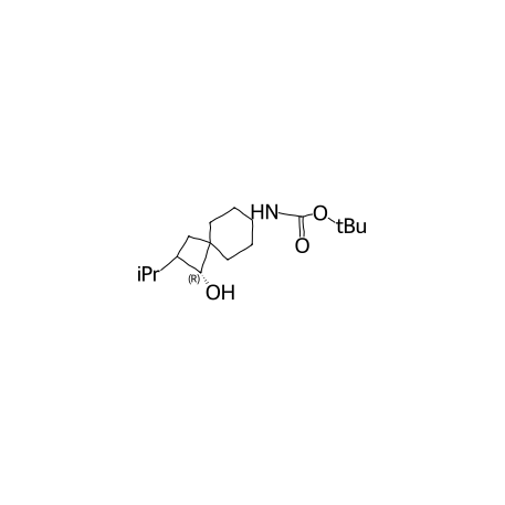 CC(C)C1CC2(CCC(NC(=O)OC(C)(C)C)CC2)[C@@H]1O